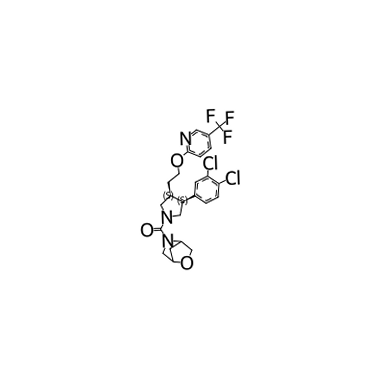 O=C(N1C[C@@H](CCOc2ccc(C(F)(F)F)cn2)[C@@H](c2ccc(Cl)c(Cl)c2)C1)N1CC2CC1CO2